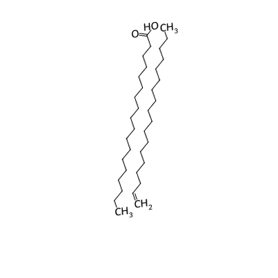 C=CCCCCCCCCCCCCCCCC.CCCCCCCCCCCCCCCCCC(=O)O